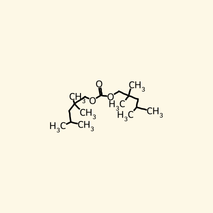 CC(C)CC(C)(C)COC(=O)OCC(C)(C)CC(C)C